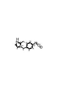 Cc1[nH]cc[n+]1Cc1ccc(N=C=O)cc1